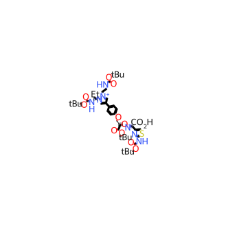 CC[C@@H](NC(=O)OC(C)(C)C)n1cc(-c2ccc(OC[C@H](O/N=C(\C(=O)O)c3csc(NC(=O)OC(C)(C)C)n3)C(=O)OC(C)(C)C)cc2)c[n+]1CCNC(=O)OC(C)(C)C